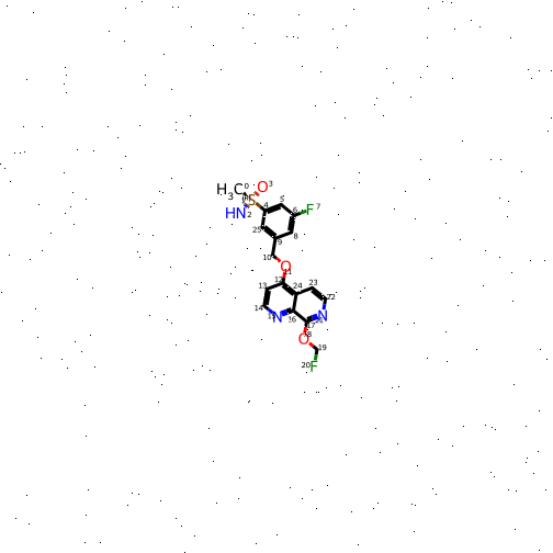 C[S@@](=N)(=O)c1cc(F)cc(COc2ccnc3c(OCF)nccc23)c1